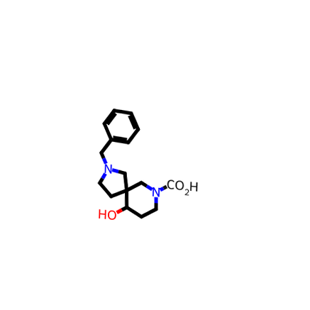 O=C(O)N1CCC(O)C2(CCN(Cc3ccccc3)C2)C1